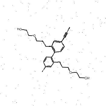 CC#Cc1ccc(-c2ccc(C)cc2CCCOCCO)c(CCCOCCO)c1